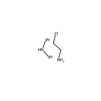 CC(C)NC(C)C.NCCCl